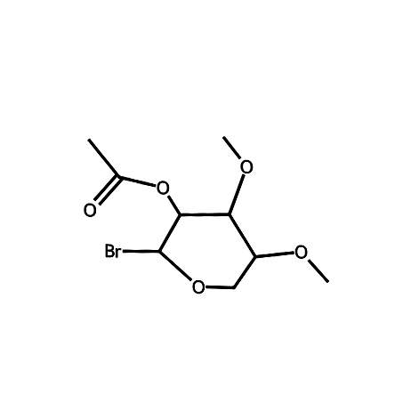 COC1COC(Br)C(OC(C)=O)C1OC